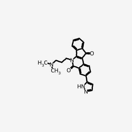 CN(C)CCCn1c2c(c3ccc(-c4ccn[nH]4)cc3c1=O)C(=O)c1ccccc1-2